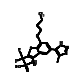 Cc1nn[nH]c1-c1cc(OCCCC(F)(F)F)c2sc(C(F)(F)P(=O)(O)O)c(Br)c2c1